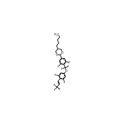 CCCCCC1COC(c2cc(F)c(C(F)(F)Oc3cc(F)c(/C=C/C(F)(F)F)c(F)c3)c(F)c2)OC1